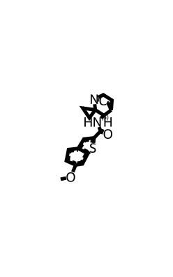 COc1ccc2cc(C(=O)N[C@H]3C4CCN(CC4)C34CC4)sc2c1